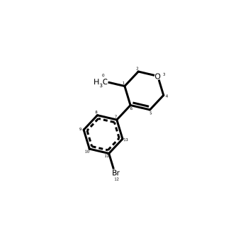 CC1COCC=C1c1cccc(Br)c1